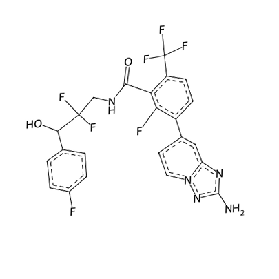 Nc1nc2cc(-c3ccc(C(F)(F)F)c(C(=O)NCC(F)(F)C(O)c4ccc(F)cc4)c3F)ccn2n1